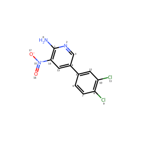 Nc1ncc(-c2ccc(Cl)c(Cl)c2)cc1[N+](=O)[O-]